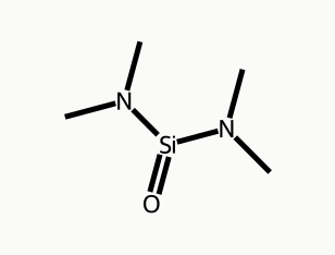 CN(C)[Si](=O)N(C)C